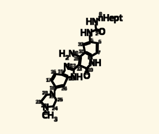 CCCCCCCNC(=O)Nc1ccc2[nH]c(=O)c(-c3nc4ccc(N5CCN(C)CC5)cc4[nH]3)c(N)c2c1